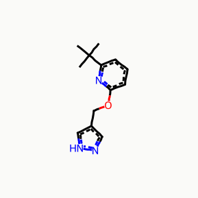 CC(C)(C)c1cccc(OCc2cn[nH]c2)n1